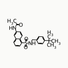 CC(=O)Nc1ccc2c(S(=O)(=O)NCc3ccc(C(C)(C)C)cc3)cccc2c1